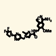 COc1cc2c(N)nccc2cc1CNC(=O)c1cn(Cc2cnc(N3CCC(F)(F)C3)nc2)c(C)n1